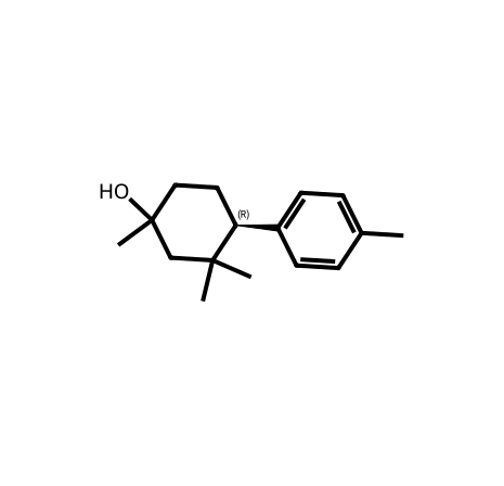 Cc1ccc([C@@H]2CCC(C)(O)CC2(C)C)cc1